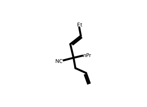 C=CCC(C#N)(C=CCC)CCC